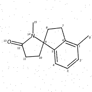 Cc1cccc2c1CCC21CCC(=O)N1C